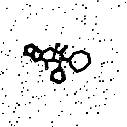 CCC1(C(=O)NC2CCCCCCC2)Cn2c(cc3occc32)C(=O)N1Cc1ccccn1